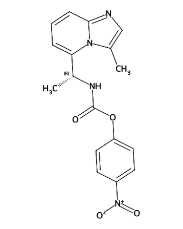 Cc1cnc2cccc([C@@H](C)NC(=O)Oc3ccc([N+](=O)[O-])cc3)n12